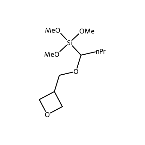 CCCC(OCC1COC1)[Si](OC)(OC)OC